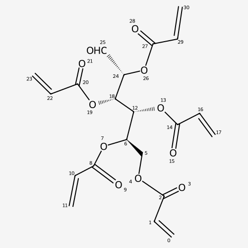 C=CC(=O)OC[C@@H](OC(=O)C=C)[C@@H](OC(=O)C=C)[C@H](OC(=O)C=C)[C@H](C=O)OC(=O)C=C